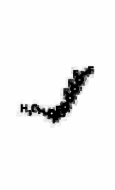 CCCCCc1ccc(C(F)(F)Oc2ccc(-c3ccc(-c4ccc(-c5ccc(CCCF)c(F)c5)c(F)c4)c(F)c3)cc2)c(F)c1